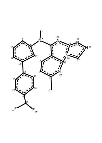 Cc1ccc2c(N(C)c3cccc(-c4ccc(C(F)F)cc4)c3)nc3nncn3c2n1